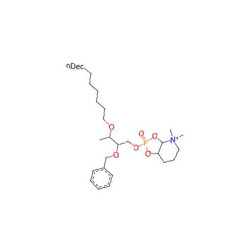 CCCCCCCCCCCCCCCCOC(C)C(COP1(=O)OC2CCC[N+](C)(C)C2O1)OCc1ccccc1